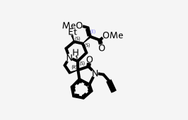 C#CCN1C(=O)[C@]2(CCN3C[C@@H](CC)[C@@H](/C(=C\OC)C(=O)OC)C[C@H]32)c2ccccc21